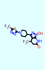 O=C1CC(C(F)(F)F)c2c(C3CCN(c4nnc(C(F)(F)F)s4)CC3)nn(O)c2N1